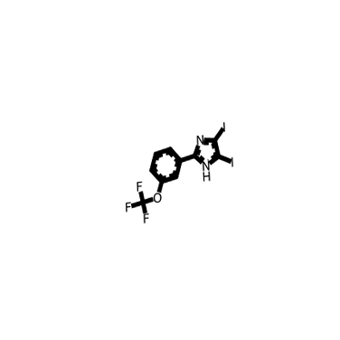 FC(F)(F)Oc1cccc(-c2nc(I)c(I)[nH]2)c1